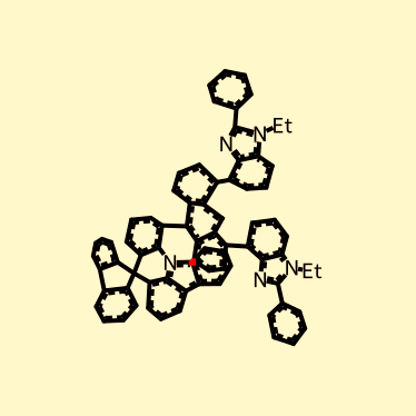 CCn1c(-c2ccccc2)nc2c(-c3cccc4c(-c5cccc6c5-n5c7ccccc7c7cccc(c75)C65c6ccccc6-c6ccccc65)c5cccc(-c6cccc7c6nc(-c6ccccc6)n7CC)c5cc34)cccc21